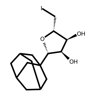 O[C@@H]1[C@H](O)[C@@H](CI)O[C@H]1C12CC3CC(CC(C3)C1)C2